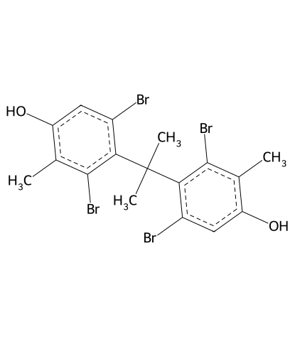 Cc1c(O)cc(Br)c(C(C)(C)c2c(Br)cc(O)c(C)c2Br)c1Br